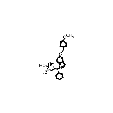 COc1ccc(COc2ccc3c(ccn3[C@@H](c3ccccc3)[C@H](O)CN(C)C(=O)O)c2)cc1